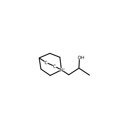 CC(O)C[N+]12CCC(CC1)CC2